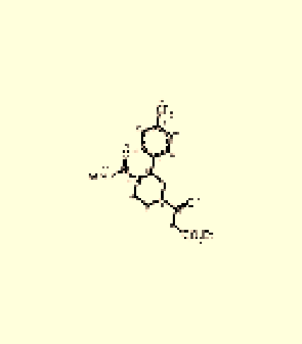 CCOC(=O)CC(=O)C1CCN(C(=O)OC)C(c2ccc(C(F)(F)F)cc2)C1